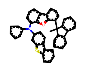 CC1(c2cccc3c2oc2c(N(c4ccccc4)c4ccc5c(c4)sc4ccccc45)cccc23)c2ccccc2-c2ccccc21